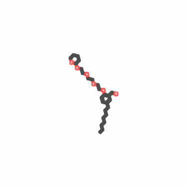 CCCCCCCCc1ccc(OCCOCCOCCOC2CCCCO2)c(C=O)c1